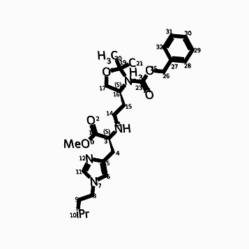 COC(=O)[C@H](Cc1cn(CCC(C)C)cn1)NCC[C@H]1COC(C)(C)N1C(=O)OCc1ccccc1